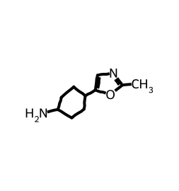 Cc1ncc(C2CCC(N)CC2)o1